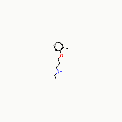 CCNCCCOc1ccccc1C